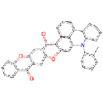 Cc1ccccc1N(c1ccc2c(=O)c3cc4oc5ccccc5c(=O)c4cc3oc2c1)c1ccccc1-c1ccccc1